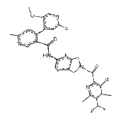 COc1cnc(Cl)cc1-c1cc(C)ncc1C(=O)Nc1nc2c(s1)CN(C(=O)c1nc(C)c(C(F)F)c(C)c1Cl)C2